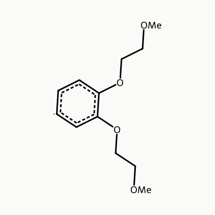 COCCOc1c[c]ccc1OCCOC